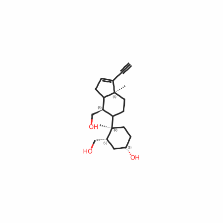 C#CC1=CCC2[C@H](CO)C([C@@]3(C)CC[C@H](O)C[C@@H]3CO)CC[C@]12C